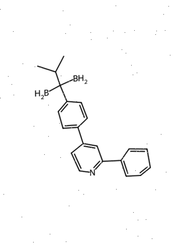 BC(B)(c1ccc(-c2ccnc(-c3ccccc3)c2)cc1)C(C)C